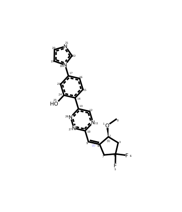 CO[C@H]1CC(F)(F)C/C1=C/c1ncc(-c2ccc(-n3ccnc3)cc2O)nn1